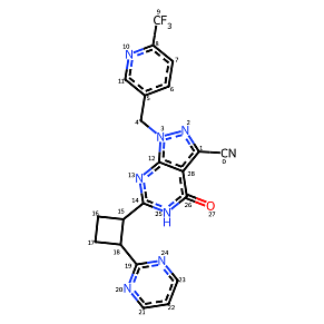 N#Cc1nn(Cc2ccc(C(F)(F)F)nc2)c2nc(C3CCC3c3ncccn3)[nH]c(=O)c12